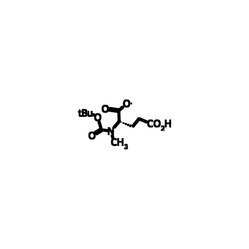 CN(C(=O)OC(C)(C)C)[C@@H](CCC(=O)O)C([O])=O